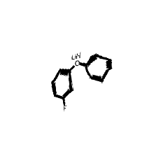 Fc1cccc(Oc2[c]cccc2)c1.[LiH]